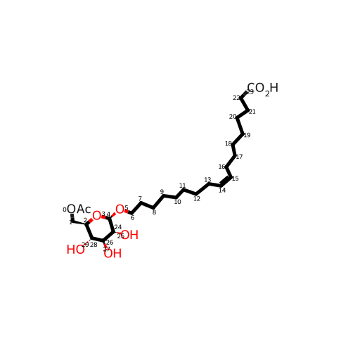 CC(=O)OC[C@H]1O[C@@H](OCCCCCCCC/C=C\CCCCCCCC(=O)O)[C@H](O)[C@@H](O)[C@@H]1O